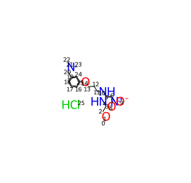 COCCNC(=C[N+](=O)[O-])NCCCOc1cccc(CN(C)C)c1.Cl